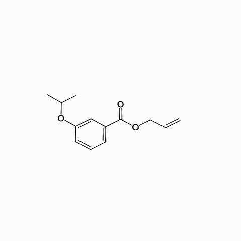 C=CCOC(=O)c1cccc(OC(C)C)c1